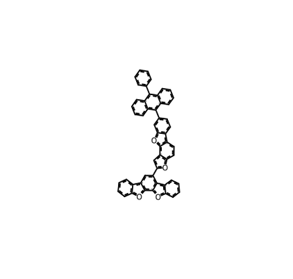 c1ccc(-c2c3ccccc3c(-c3ccc4c(c3)oc3c5cc(-c6cc7c8ccccc8oc7c7oc8ccccc8c67)oc5ccc43)c3ccccc23)cc1